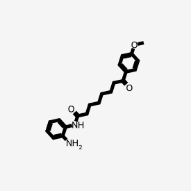 COc1ccc(C(=O)CCCCCCC(=O)Nc2ccccc2N)cc1